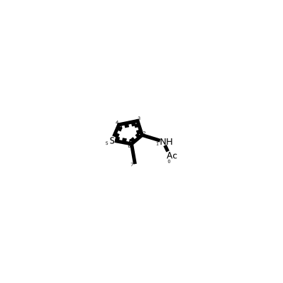 CC(=O)Nc1ccsc1C